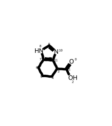 O=C(O)C1CCCc2[nH]cnc21